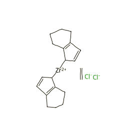 C1=C[CH]([Zr+2][CH]2C=CC3=C2CCCC3)C2=C1CCCC2.C=C.[Cl-].[Cl-]